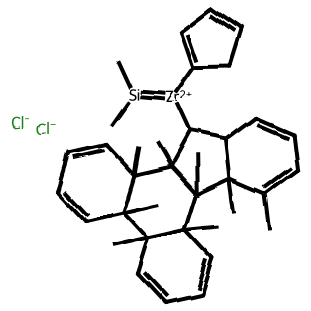 CC1=CC=CC2[CH]([Zr+2]([C]3=CC=CC3)=[Si](C)C)C3(C)C4(C)C=CC=CC4(C)C4(C)C=CC=CC4(C)C3(C)C12C.[Cl-].[Cl-]